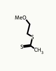 COCCSC(C)=S